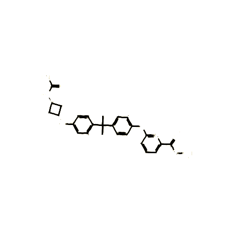 CC(C)(c1ccc(Oc2cccc(C(=O)NO)n2)cc1)c1ccc(O[C@H]2C[C@H](OC(N)=O)C2)cc1